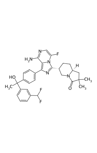 CC1(C)C[C@@H]2CC[C@@H](c3nc(-c4ccc(C(C)(O)c5cccc(C(F)F)c5)cc4)c4c(N)ncc(F)n34)CN2C1=O